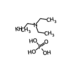 CCN(CC)CC.O=P(O)(O)O.[KH]